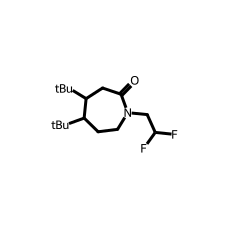 CC(C)(C)C1CCN(CC(F)F)C(=O)CC1C(C)(C)C